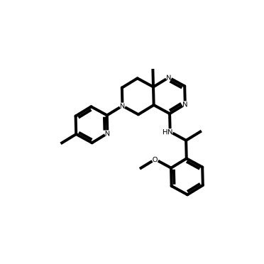 COc1ccccc1C(C)NC1=NC=NC2(C)CCN(c3ccc(C)cn3)CC12